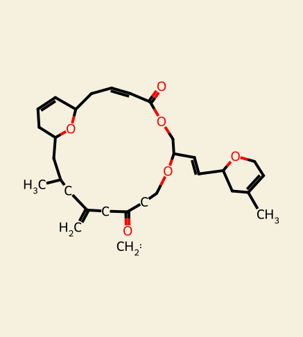 C=C1CC(=O)CCOC(C=CC2CC(C)=CCO2)COC(=O)C=CCC2C=CCC(CC(C)C1)O2.[CH2]